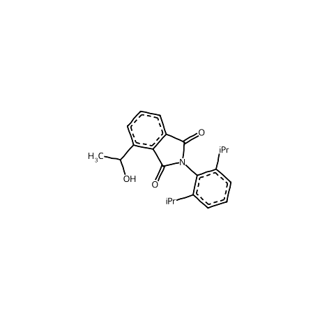 CC(C)c1cccc(C(C)C)c1N1C(=O)c2cccc(C(C)O)c2C1=O